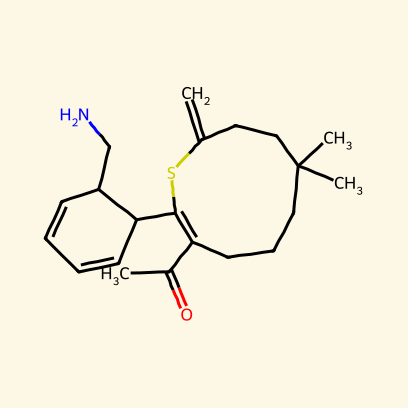 C=C1CCC(C)(C)CCC/C(C(C)=O)=C(/C2C=CC=CC2CN)S1